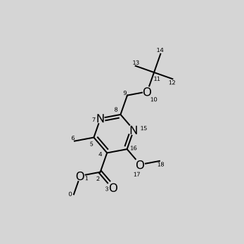 COC(=O)c1c(C)nc(COC(C)(C)C)nc1OC